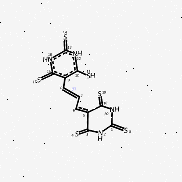 S=C1NC(=S)C(=C/C=C/c2c(S)[nH]c(=S)[nH]c2=S)C(=S)N1